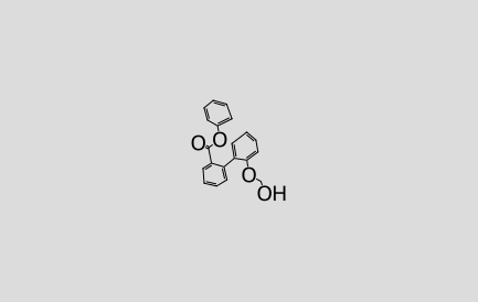 O=C(Oc1ccccc1)c1ccccc1-c1ccccc1OCO